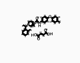 Cc1ccccc1C(C)N1CC2CC1CN2C(=O)Nc1ccc(Oc2ccc(F)cc2)cc1.O=C(O)/C=C/C(=O)O